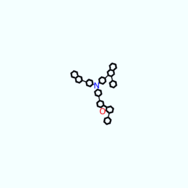 c1ccc(-c2cc3ccccc3cc2-c2ccc(N(c3ccc(-c4ccc5ccccc5c4)cc3)c3ccc(-c4ccc5oc6c(-c7ccccc7)cccc6c5c4)cc3)cc2)cc1